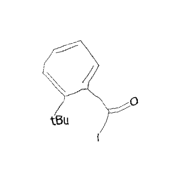 CC(C)(C)c1ccccc1C(=O)I